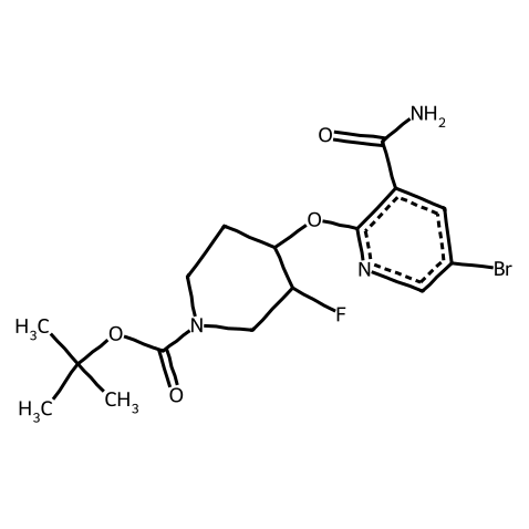 CC(C)(C)OC(=O)N1CCC(Oc2ncc(Br)cc2C(N)=O)C(F)C1